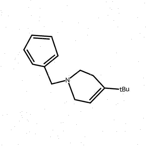 CC(C)(C)C1=CCN(Cc2ccccc2)CC1